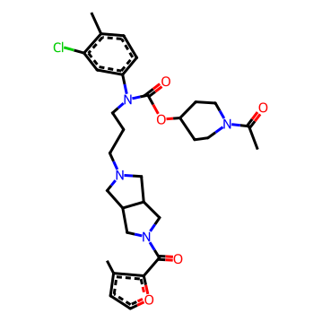 CC(=O)N1CCC(OC(=O)N(CCCN2CC3CN(C(=O)c4occc4C)CC3C2)c2ccc(C)c(Cl)c2)CC1